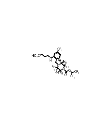 [2H]C1([2H])N(Cc2ccc(C(F)(F)F)cc2NCCCC(=O)O)C([2H])([2H])C([2H])([2H])N(C(=O)OC(C(F)(F)F)C(F)(F)F)C1([2H])[2H]